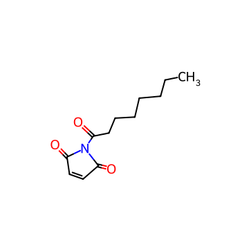 CCCCCCCC(=O)N1C(=O)C=CC1=O